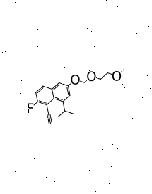 C#Cc1c(F)ccc2cc(OCOCCOC)cc(C(C)C)c12